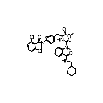 COC(=O)C(Cc1ccc(NC(=O)c2c(Cl)cccc2Cl)cc1)NC(=O)N(C)c1ccccc1C(=O)NCC1CCCCC1